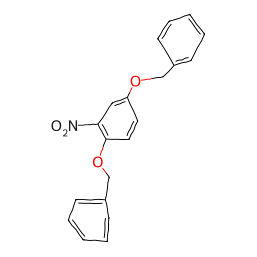 O=[N+]([O-])c1cc(OCc2ccccc2)ccc1OCc1ccccc1